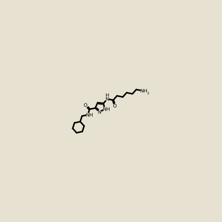 NCCCCCC(=O)Nc1cc(C(=O)NCC2CCCCC2)n[nH]1